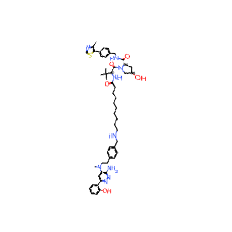 Cc1ncsc1-c1ccc(CNC(=O)[C@@H]2C[C@@H](O)CN2C(=O)[C@@H](NC(=O)CCCCCCCCCNCc2ccc(CCN(C)c3cc(-c4ccccc4O)nnc3N)cc2)C(C)(C)C)cc1